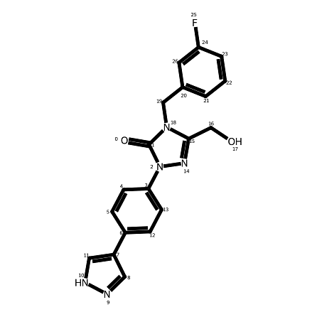 O=c1n(-c2ccc(-c3cn[nH]c3)cc2)nc(CO)n1Cc1cccc(F)c1